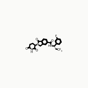 O=C1CCC(N2Cc3cc(C(=O)N[C@@H](CC(F)(F)F)c4cccc(F)c4)ccc3C2=O)C(=O)N1